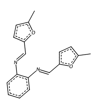 Cc1ccc(C=Nc2ccccc2N=Cc2ccc(C)o2)o1